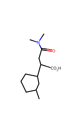 CC1CCCC(C(CC(=O)N(C)C)C(=O)O)C1